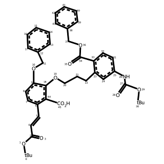 CC(C)(C)OC(=O)/C=C/c1ccc(OCc2ccccc2)c(OCCCc2cc(NC(=O)OC(C)(C)C)ccc2C(=O)OCc2ccccc2)c1C(=O)O